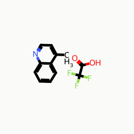 Cc1ccnc2ccccc12.O=C(O)C(F)(F)F